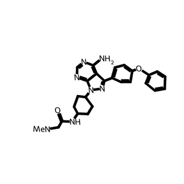 CNCC(=O)NC1CCC(n2nc(-c3ccc(Oc4ccccc4)cc3)c3c(N)ncnc32)CC1